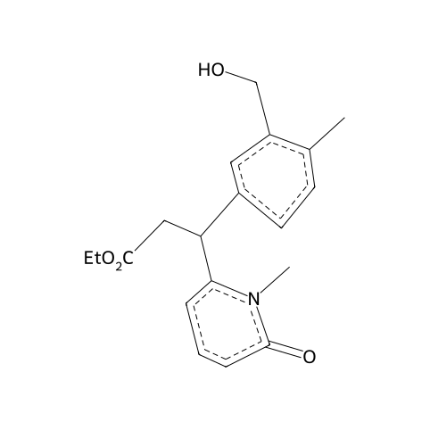 CCOC(=O)CC(c1ccc(C)c(CO)c1)c1cccc(=O)n1C